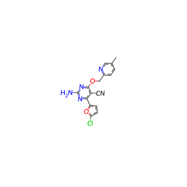 Cc1ccc(COc2nc(N)nc(-c3ccc(Cl)o3)c2C#N)nc1